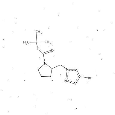 CC(C)(C)OC(=O)N1CCCC1Cn1cc(Br)cn1